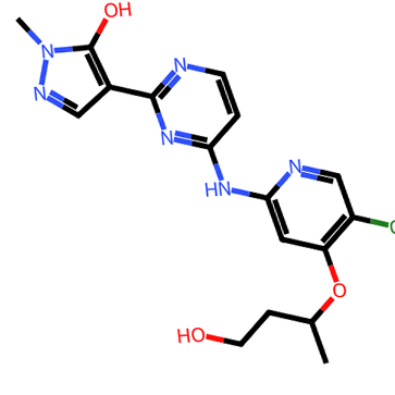 CC(CCO)Oc1cc(Nc2ccnc(-c3cnn(C)c3O)n2)ncc1Cl